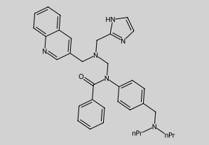 CCCN(CCC)Cc1ccc(N(CN(Cc2cnc3ccccc3c2)Cc2ncc[nH]2)C(=O)c2ccccc2)cc1